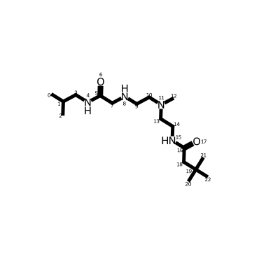 CC(C)CNC(=O)CNCCN(C)CCNC(=O)CC(C)(C)C